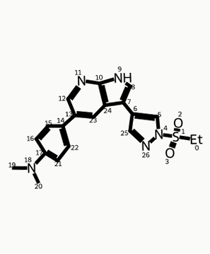 CCS(=O)(=O)n1cc(-c2c[nH]c3ncc(-c4ccc(N(C)C)cc4)cc23)cn1